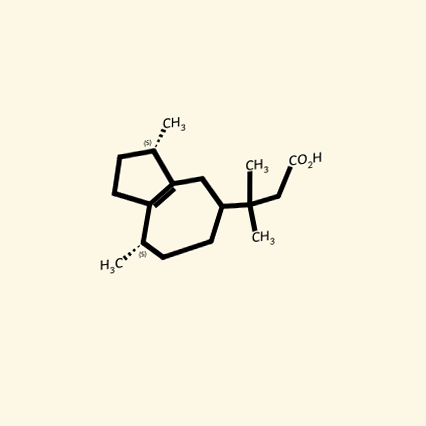 C[C@H]1CCC(C(C)(C)CC(=O)O)CC2=C1CC[C@@H]2C